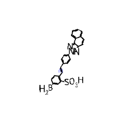 Bc1ccc(/C=C/c2ccc(-n3nc4ccc5ccccc5c4n3)cc2)c(S(=O)(=O)O)c1